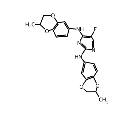 CC1COc2cc(Nc3ncc(F)c(Nc4ccc5c(c4)OCC(C)O5)n3)ccc2O1